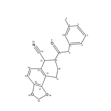 Cc1cccc(CC(=O)C2CCc3c(ccc4c3OCO4)C2C#N)c1